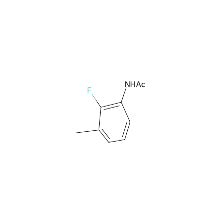 CC(=O)Nc1cccc(C)c1F